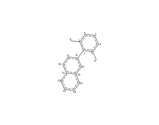 Cc1cccc(C)c1-c1ccc2ccccc2c1